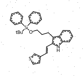 CC(C)(C)[Si](OCCCc1c(C=Cc2ccsc2)[nH]c2ccccc12)(c1ccccc1)c1ccccc1